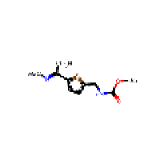 CON=C(C(=O)O)c1ccc(CNC(=O)OC(C)(C)C)s1